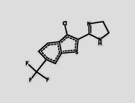 FC(F)(F)c1ccc2c(Cl)c(C3=NCCN3)sc2c1